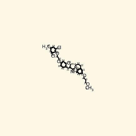 COCCCOc1ccc2c(c1)CCCN2C(N)C(C=O)Cc1ccc(OCCOc2c(Cl)cc(C)cc2Cl)cc1